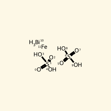 O=S(=O)(O)O.O=S(=O)(O)O.[BiH3].[Fe]